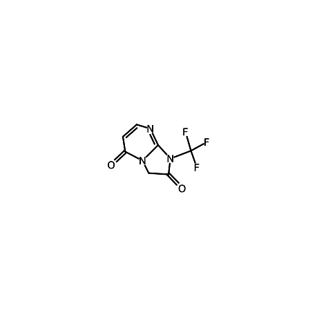 O=C1Cn2c(nccc2=O)N1C(F)(F)F